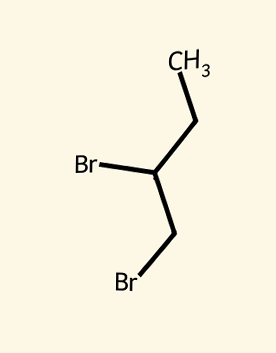 CC[C](Br)CBr